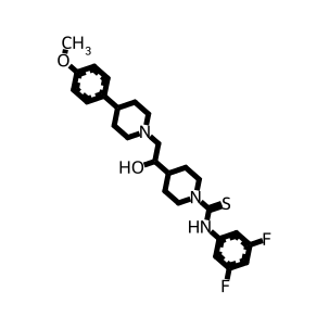 COc1ccc(C2CCN(CC(O)C3CCN(C(=S)Nc4cc(F)cc(F)c4)CC3)CC2)cc1